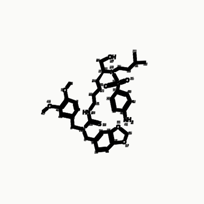 COc1ccc(CN(Cc2ccc3c(c2)OCO3)C(=S)NCCCC[C@@H](CO)N(CCC(C)C)S(=O)(=O)c2ccc(N)cc2)cc1OC